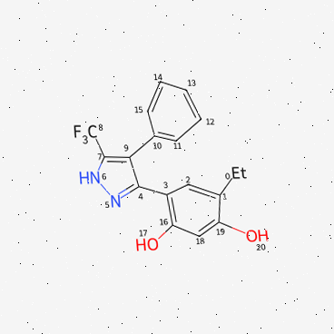 CCc1cc(-c2n[nH]c(C(F)(F)F)c2-c2ccccc2)c(O)cc1O